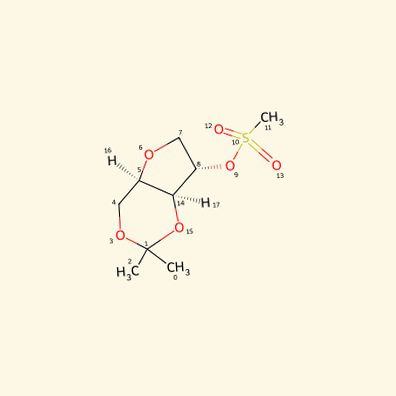 CC1(C)OC[C@H]2OC[C@H](OS(C)(=O)=O)[C@H]2O1